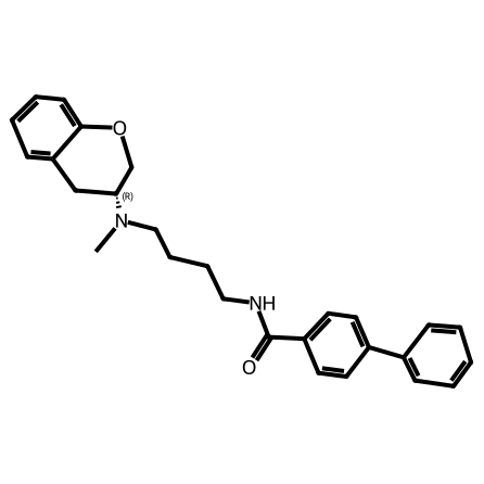 CN(CCCCNC(=O)c1ccc(-c2ccccc2)cc1)[C@H]1COc2ccccc2C1